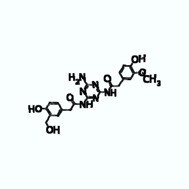 COc1cc(CC(=O)Nc2nc(N)nc(NC(=O)Cc3ccc(O)c(CO)c3)n2)ccc1O